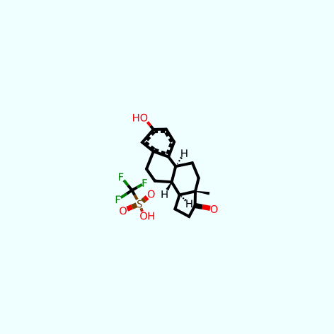 C[C@]12CC[C@@H]3c4ccc(O)cc4CC[C@H]3[C@@H]1CCC2=O.O=S(=O)(O)C(F)(F)F